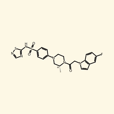 C[C@@H]1CN(c2ccc(S(=O)(=O)Nc3ncns3)cc2)CCN1C(=O)Cn1ccc2cc(F)ccc21